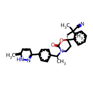 C=C1C=CC(c2ccc([C@H](C)N3CC[C@](CC(C)(C)C#N)(c4ccccc4)OC3=O)cc2)=NN1